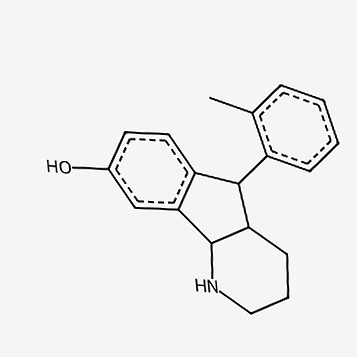 Cc1ccccc1C1c2ccc(O)cc2C2NCCCC21